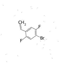 C=Cc1cc(F)c(Br)cc1F